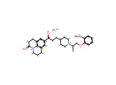 COc1ccccc1OCC(C)N1CCC(CCC(=O)c2cc3c4c(c2)CCC(=O)N4CCC3)CC1.Cl